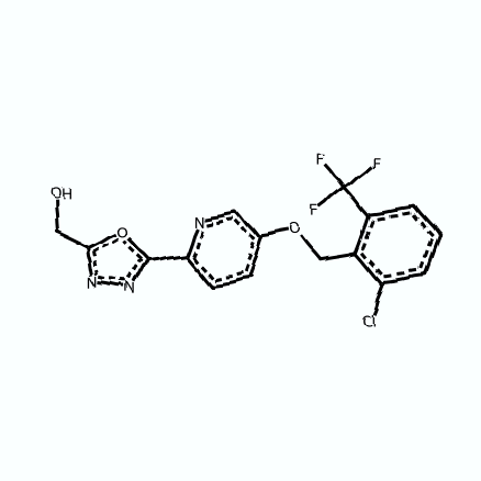 OCc1nnc(-c2ccc(OCc3c(Cl)cccc3C(F)(F)F)cn2)o1